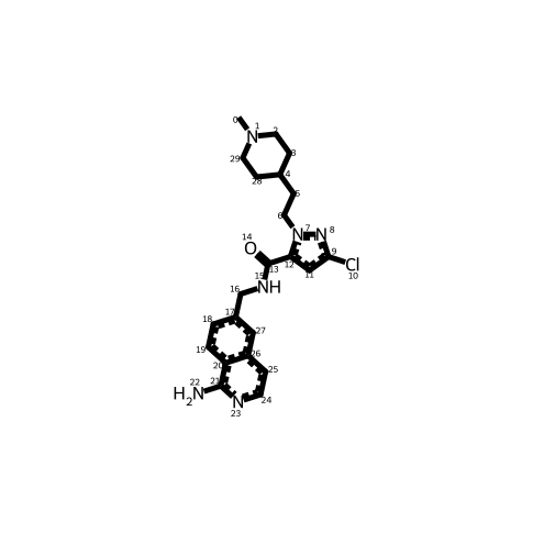 CN1CCC(CCn2nc(Cl)cc2C(=O)NCc2ccc3c(N)nccc3c2)CC1